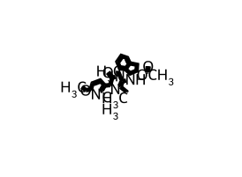 CCc1nc(-c2ccc(OC)nc2C)c(=O)n(C)c1N[C@H]1c2ccccc2C[C@@H]1OC(C)=O